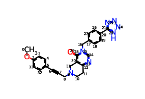 COc1ccc(C#CCN2CCc3ncn(Cc4ccc(-c5nnn[nH]5)cc4)c(=O)c3C2)cc1